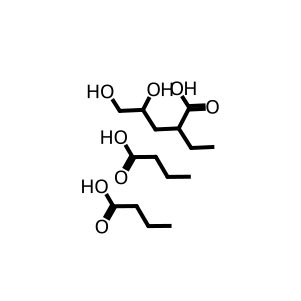 CCC(CC(O)CO)C(=O)O.CCCC(=O)O.CCCC(=O)O